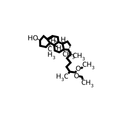 CCOC(OCC)C(C)CCC[C@@H](C)[C@H]1CC[C@H]2[C@@H]3CC=C4C[C@@H](O)CC[C@]4(C)[C@H]3CC[C@]12C